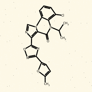 Cc1ccc(-c2noc(-c3ncn4c3c(=O)n(C(C)C)c3c(Cl)cccc34)n2)o1